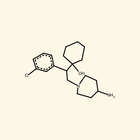 NC1CCN(CC(c2cccc(Cl)c2)C2(O)CCCCC2)CC1